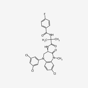 CN1C(=O)[C@H](NC(=O)C(C)(C)NC(=O)c2ccc(F)cc2)CN(c2cc(Cl)cc(Cl)c2)c2ccc(Cl)cc21